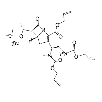 C=CCOC(=O)NC[C@H](C1=C(C(=O)OCC=C)N2C(=O)[C@H]([C@@H](C)O[Si](C)(C)C(C)(C)C)[C@H]2C1)N(C)C(=O)OCC=C